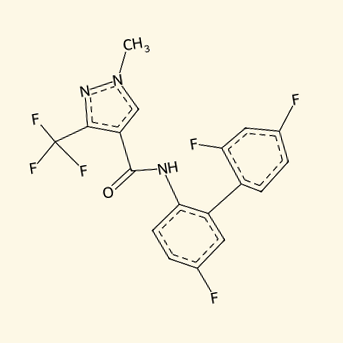 Cn1cc(C(=O)Nc2ccc(F)cc2-c2ccc(F)cc2F)c(C(F)(F)F)n1